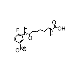 O=C(O)NCCCCCC(=O)Nc1cc([N+](=O)[O-])ccc1F